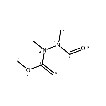 C=C(OC)N(C)N(C)C=O